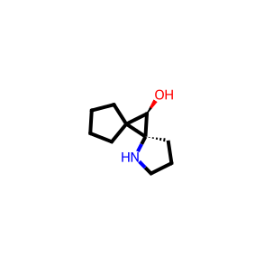 O[C@@H]1C2(CCCC2)[C@@]12CCCN2